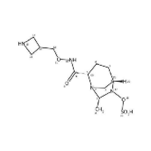 CC1N2C[C@H](CC[C@H]2C(=O)NOCC2CNC2)N1OS(=O)(=O)O